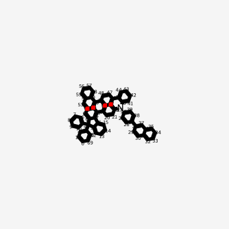 c1ccc(C2(c3ccccc3)c3ccccc3-c3c(-c4ccc(N(c5ccc(-c6ccc7ccccc7c6)cc5)c5ccccc5-c5ccc(-c6cccc7ccccc67)cc5)cc4)cccc32)cc1